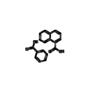 O=C(O)c1cccc2ccccc12.O=C(O)c1ccccc1